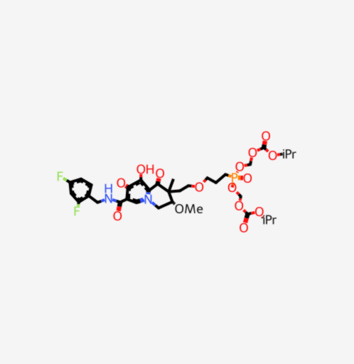 COC1Cn2cc(C(=O)NCc3ccc(F)cc3F)c(=O)c(O)c2C(=O)C1(C)CCOCCCP(=O)(OCOC(=O)OC(C)C)OCOC(=O)OC(C)C